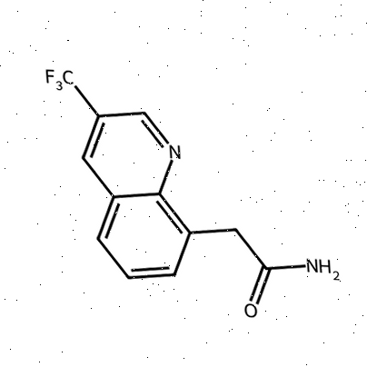 NC(=O)Cc1cccc2cc(C(F)(F)F)cnc12